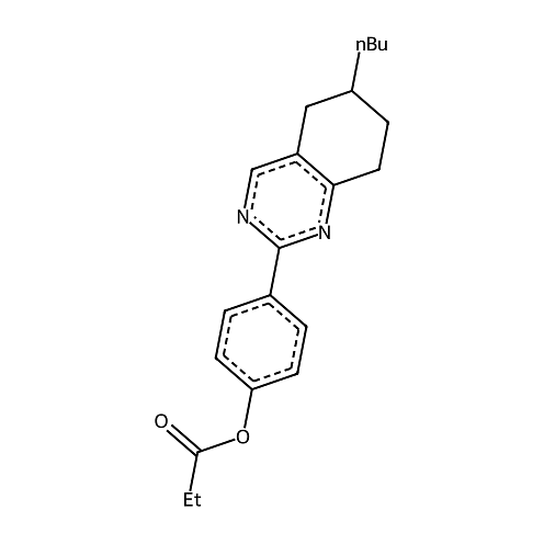 CCCCC1CCc2nc(-c3ccc(OC(=O)CC)cc3)ncc2C1